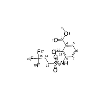 COC(=O)c1cccc(NS(=O)(=O)CCC(F)(F)F)c1Cl